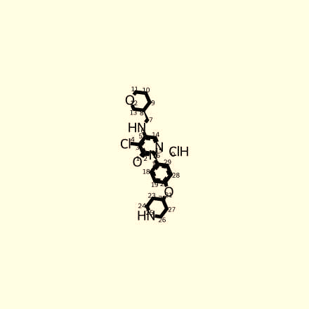 Cl.O=c1c(Cl)c(NC[C@@H]2CCCOC2)cnn1-c1ccc(OC2CCNCC2)cc1